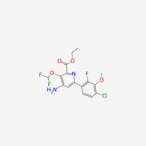 CCOC(=O)c1nc(-c2ccc(Cl)c(OC)c2F)cc(N)c1OC(F)F